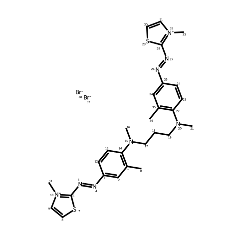 Cc1cc(N=Nc2scc[n+]2C)ccc1N(C)CCCN(C)c1ccc(N=Nc2scc[n+]2C)cc1C.[Br-].[Br-]